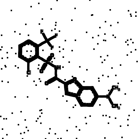 CN(C)c1ccc2cc(C(=O)NS(=O)(=O)c3c(Cl)cccc3C(F)(F)F)oc2c1